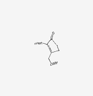 CCCCCC1=C(COC)CCC1=O